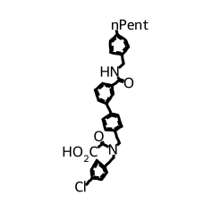 CCCCCc1ccc(CNC(=O)c2cccc(-c3ccc(CN(Cc4ccc(Cl)cc4)C(=O)C(=O)O)cc3)c2)cc1